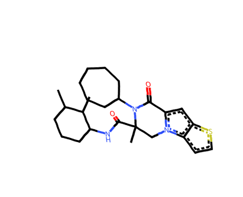 CC1CCCC(NC(=O)C2(C)Cn3c(cc4sccc43)C(=O)N2C2CCCCCC2)C1C